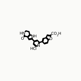 Cl.O=C(O)c1cc2cc(-c3cc(-c4cc5c([nH]4)CCNC5=O)ccn3)ccc2o1